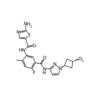 CO[C@H]1C[C@@H](n2ccc(NC(=O)c3cc(NC(=O)c4cnc(N)s4)c(C)cc3F)n2)C1